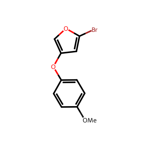 COc1ccc(Oc2coc(Br)c2)cc1